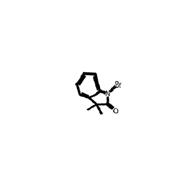 CC1(C)C(=O)N(Br)c2ccccc21